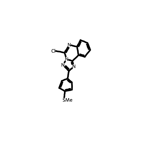 CSc1ccc(-c2nc3c4ccccc4nc(Cl)n3n2)cc1